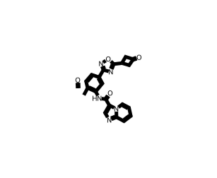 C=O.Cc1ccc(-c2noc(C3CC(=O)C3)n2)cc1NC(=O)c1cnc2ccccn12